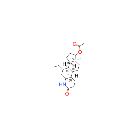 CCC1CC2NC(=O)CC[C@]2(C)[C@@H]2CC[C@]3(C)C(OC(C)=O)CC[C@H]3[C@H]12